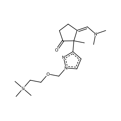 CN(C)C=C1CCC(=O)C1(C)c1ccn(COCC[Si](C)(C)C)n1